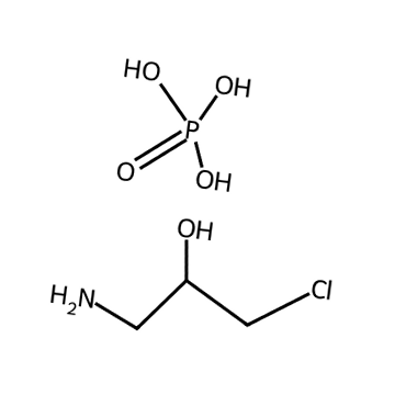 NCC(O)CCl.O=P(O)(O)O